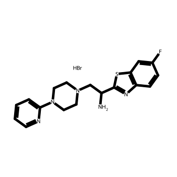 Br.NC(CN1CCN(c2ccccn2)CC1)c1nc2ccc(F)cc2s1